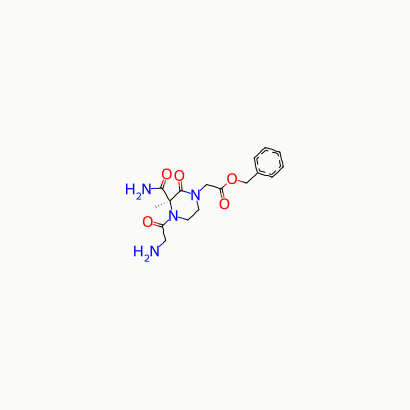 C[C@]1(C(N)=O)C(=O)N(CC(=O)OCc2ccccc2)CCN1C(=O)CN